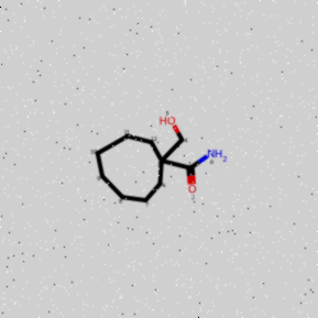 NC(=O)C1([CH]O)CCCCCCC1